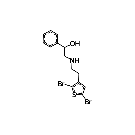 OC(CNCCc1cc(Br)sc1Br)c1ccccc1